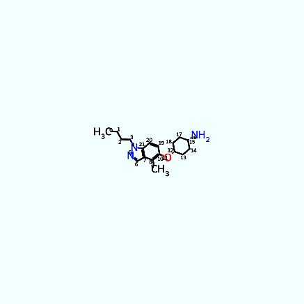 CCCCn1ncc2c(C)c(O[C@H]3CC[C@@H](N)CC3)ccc21